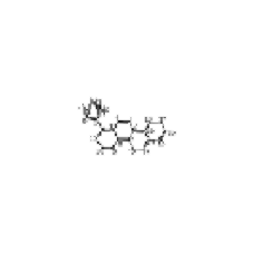 C1=C(C2=c3ccc4c(c3CCC2)CC=c2ccccc2=4)N=N[N]1